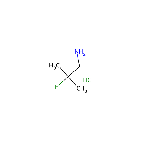 CC(C)(F)CN.Cl